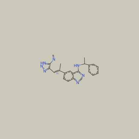 C=Nc1[nH]nnc1/C=C(\C)c1ccc2ncnc(NC(C)c3ccccc3)c2c1